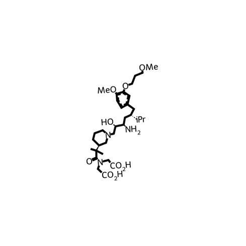 COCCCOc1cc(C[C@@H](C[C@H](N)[C@@H](O)CN2CCC[C@H](C(C)(C)C(=O)N(CC(=O)O)CC(=O)O)C2)C(C)C)ccc1OC